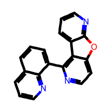 c1cnc2c(-c3nccc4oc5ncccc5c34)cccc2c1